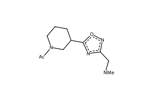 CNCc1noc(C2CCCN(C(C)=O)C2)n1